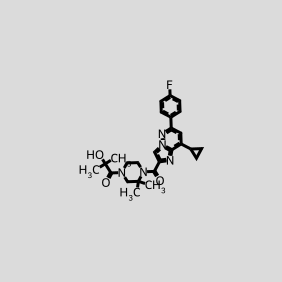 CC(C)(O)C(=O)N1CCN(C(=O)c2cn3nc(-c4ccc(F)cc4)cc(C4CC4)c3n2)C(C)(C)C1